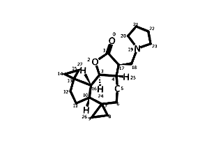 O=C1O[C@H]2[C@@H](CCC3(CC3)[C@@H]3CCC4(CC4)[C@H]23)[C@@H]1CN1CCCC1